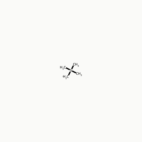 [CH2][Si](C)(C)C